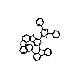 c1ccc(-c2nc(-c3ccccc3)nc(-c3cc(-n4c5ccccc5c5cccc(-c6ccccc6)c54)cc4c3sc3ccc5oc6ccccc6c5c34)n2)cc1